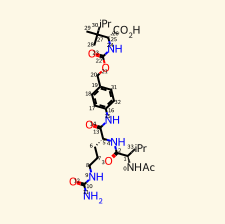 CC(=O)N[C@@H](C(=O)N[C@H](CCCNC(N)=O)C(=O)Nc1ccc(COC(=O)N[C@@H](C(=O)O)C(C)(C)C(C)C)cc1)C(C)C